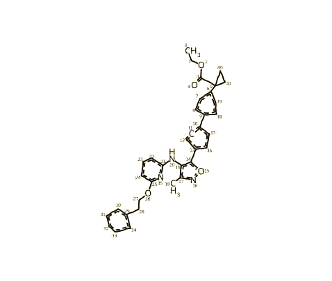 CCOC(=O)C1(c2ccc(-c3ccc(-c4onc(C)c4Nc4cccc(OCCc5ccccc5)n4)cc3)cc2)CC1